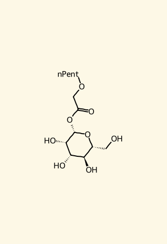 CCCCCOCC(=O)O[C@@H]1O[C@H](CO)[C@@H](O)[C@H](O)[C@@H]1O